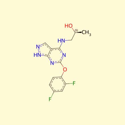 C[C@H](O)CNc1nc(Oc2ccc(F)cc2F)nc2[nH]ncc12